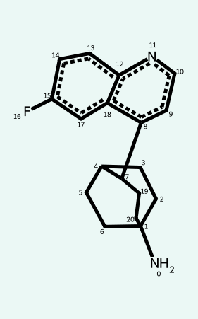 NC12CCC(CC1)C(c1ccnc3ccc(F)cc13)CC2